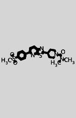 CN(C)C(=O)N1CCC(c2nc3ccc(-c4ccc(S(C)(=O)=O)cc4)nc3s2)CC1